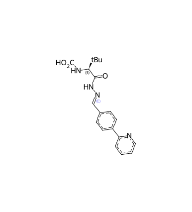 CC(C)(C)[C@H](NC(=O)O)C(=O)N/N=C/c1ccc(-c2ccccn2)cc1